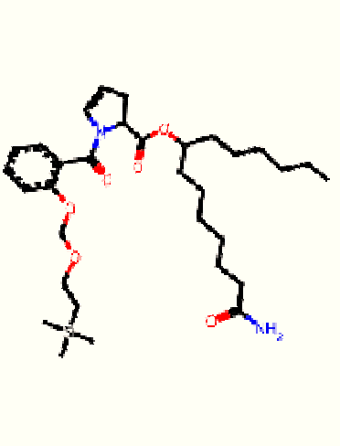 CCCCCCC(CCCCCCC(N)=O)OC(=O)C1CC=CN1C(=O)c1ccccc1OCOCC[Si](C)(C)C